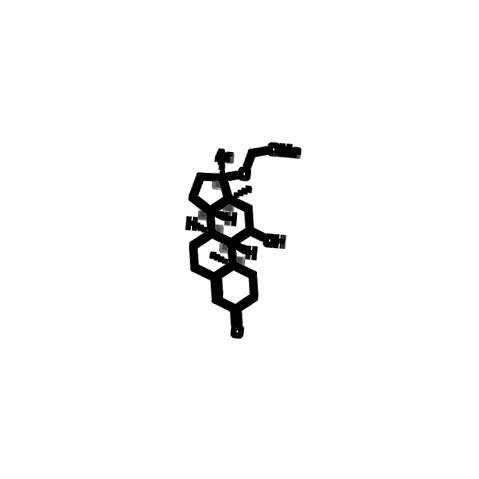 COCO[C@]1(C(C)=O)CC[C@H]2[C@@H]3CCC4=CC(=O)CC[C@]4(C)[C@H]3C(O)C[C@@]21C